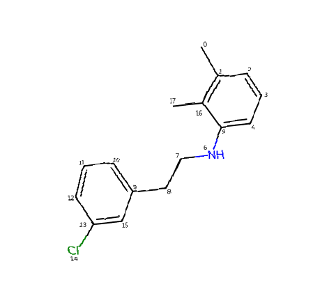 Cc1cccc(NCCc2cccc(Cl)c2)c1C